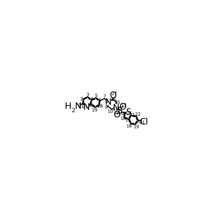 Nc1ccc2cc(CN3CCN(S(=O)(=O)c4cc5ccc(Cl)cc5s4)CC3=O)ccc2n1